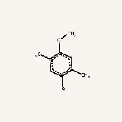 COc1cc(C)c(Br)cc1C